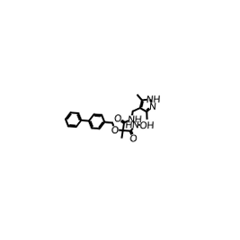 Cc1n[nH]c(C)c1CNC(=O)C(C)(OCc1ccc(-c2ccccc2)cc1)C(=O)NO